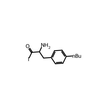 CCCCc1ccc(CC(N)C(=O)I)cc1